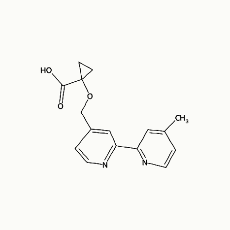 Cc1ccnc(-c2cc(COC3(C(=O)O)CC3)ccn2)c1